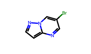 Brc1cnc2ccnn2c1